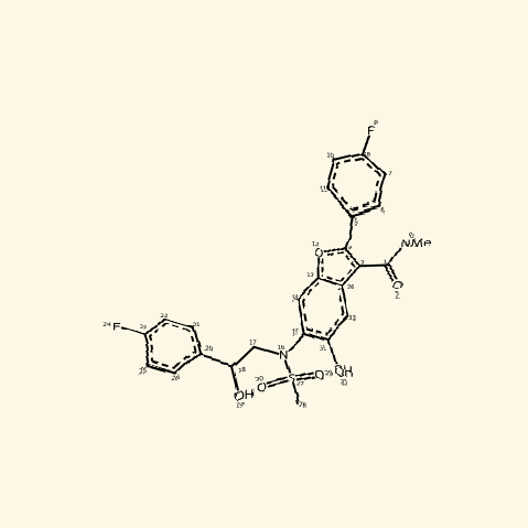 CNC(=O)c1c(-c2ccc(F)cc2)oc2cc(N(CC(O)c3ccc(F)cc3)S(C)(=O)=O)c(O)cc12